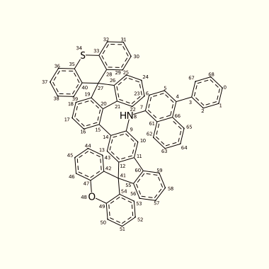 c1ccc(-c2ccc(Nc3cc4c(cc3-c3cccc5c3-c3ccccc3C53c5ccccc5Sc5ccccc53)C3(c5ccccc5Oc5ccccc53)c3ccccc3-4)c3ccccc23)cc1